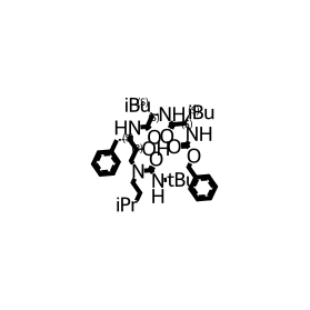 CC[C@H](C)[C@H](NC(=O)OCc1ccccc1)C(=O)N[C@H](C(=O)N[C@@H](Cc1ccccc1)[C@H](O)CN(CCC(C)C)C(=O)NC(C)(C)C)[C@@H](C)CC